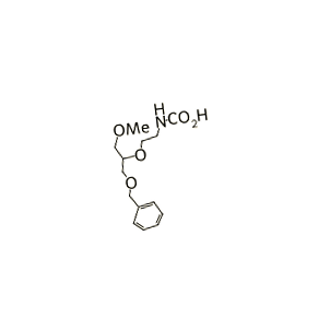 COCC(COCc1ccccc1)OCCNC(=O)O